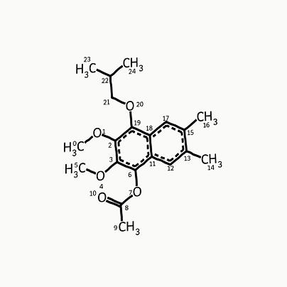 COc1c(OC)c(OC(C)=O)c2cc(C)c(C)cc2c1OCC(C)C